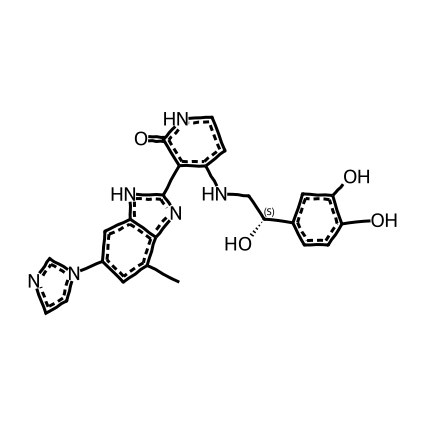 Cc1cc(-n2ccnc2)cc2[nH]c(-c3c(NC[C@@H](O)c4ccc(O)c(O)c4)cc[nH]c3=O)nc12